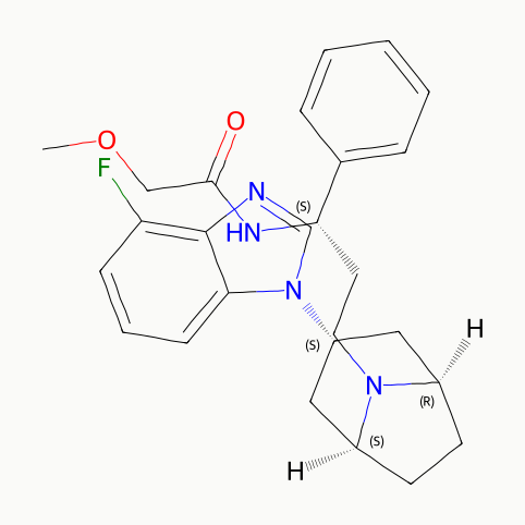 COCC(=O)N[C@@H](CCN1[C@@H]2CC[C@H]1C[C@H](n1cnc3c(F)cccc31)C2)c1ccccc1